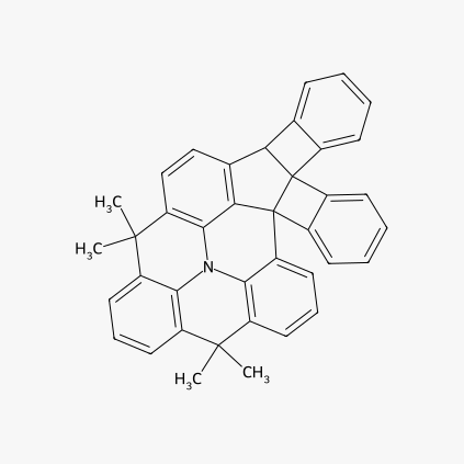 CC1(C)c2cccc3c2N2c4c1cccc4C14c5ccccc5C15c1ccccc1C5c1ccc(c2c14)C3(C)C